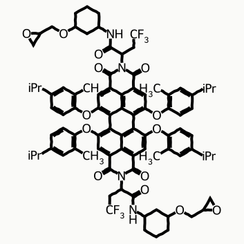 Cc1cc(C(C)C)ccc1Oc1cc2c3c(cc(Oc4ccc(C(C)C)cc4C)c4c5c(Oc6ccc(C(C)C)cc6C)cc6c7c(cc(Oc8ccc(C(C)C)cc8C)c(c1c34)c75)C(=O)N(C(CC(F)(F)F)C(=O)NC1CCCC(OCC3CO3)C1)C6=O)C(=O)N(C(CC(F)(F)F)C(=O)NC1CCCC(OCC3CO3)C1)C2=O